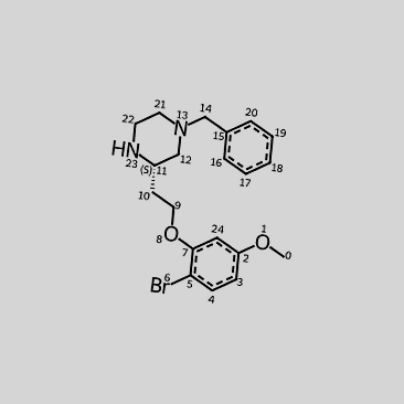 COc1ccc(Br)c(OCC[C@H]2CN(Cc3ccccc3)CCN2)c1